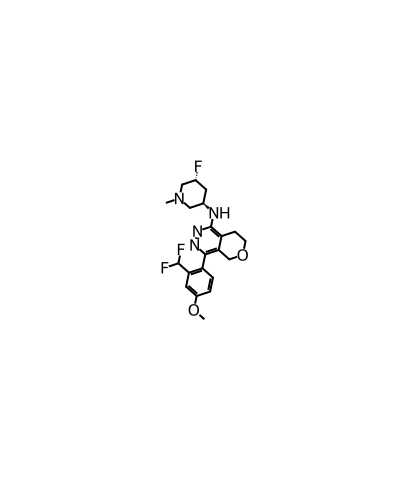 COc1ccc(-c2nnc(N[C@@H]3C[C@@H](F)CN(C)C3)c3c2COCC3)c(C(F)F)c1